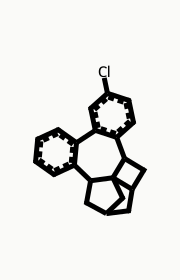 Clc1ccc2c(c1)-c1ccccc1C1CC3CC4CC2C41C3